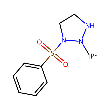 CC(C)N1NCCN1S(=O)(=O)c1ccccc1